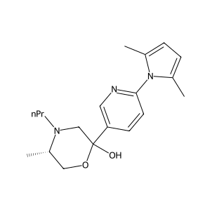 CCCN1CC(O)(c2ccc(-n3c(C)ccc3C)nc2)OC[C@@H]1C